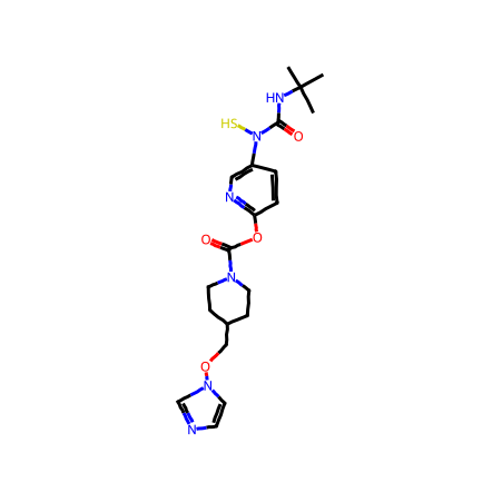 CC(C)(C)NC(=O)N(S)c1ccc(OC(=O)N2CCC(COn3ccnc3)CC2)nc1